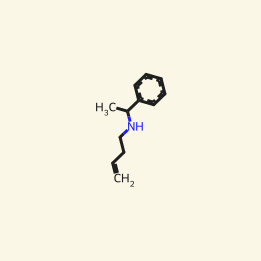 C=CCCNC(C)c1ccccc1